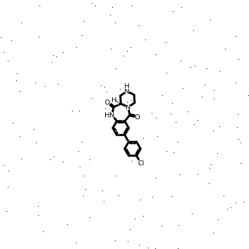 O=C1Nc2ccc(-c3ccc(Cl)cc3)cc2C(=O)N2CCNC[C@H]12